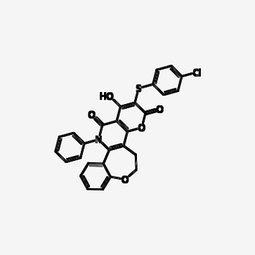 O=c1oc2c3c(n(-c4ccccc4)c(=O)c2c(O)c1Sc1ccc(Cl)cc1)-c1ccccc1OCC3